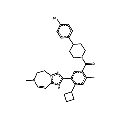 Cc1cc(C2CCC2)c(-c2nc3c([nH]2)C=CN(C)CC3)cc1C(=O)N1CCC(c2ccc(C#N)cc2)CC1